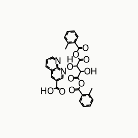 Cc1ccccc1C(=O)OC(=O)C(O)C(O)C(=O)OC(=O)c1ccccc1C.O=C(O)c1cnc2ncccc2c1